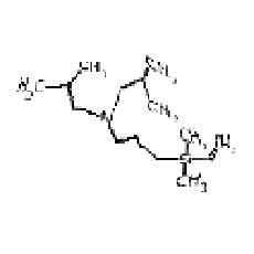 C=C[Si](C)(C)CCCN(CC(C)C)CC(C)C